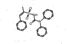 CC(=Cc1ccccc1)S(=O)(=O)NC(=O)N(c1ccccc1)c1ccccc1